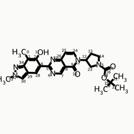 Cc1c(O)c(-c2ncc3c(=O)n(C4CCN(C(=O)OC(C)(C)C)C4)ccc3n2)cc2cn(C)nc12